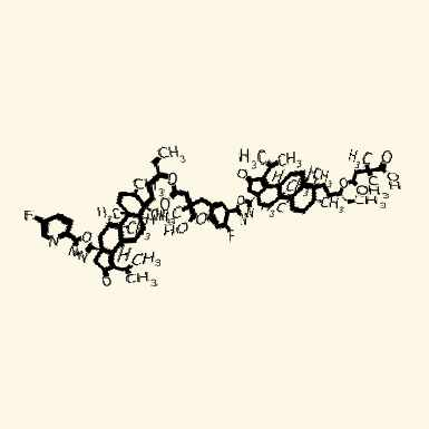 CC[C@H](CC[C@@]1(C)[C@H](C)CC[C@]2(C)[C@@H]1CC[C@@H]1C3=C(C(C)C)C(=O)C[C@]3(c3nnc(-c4cc(CC(C)(CC(=O)O[C@H](CC)CC[C@@]5(C)[C@H](C)CC[C@]6(C)[C@@H]5CC[C@@H]5C7=C(C(C)C)C(=O)C[C@]7(c7nnc(-c8ccc(F)cn8)o7)CC[C@]56C)C(=O)O)ccc4F)o3)CC[C@]12C)OC(=O)CC(C)(C)C(=O)O